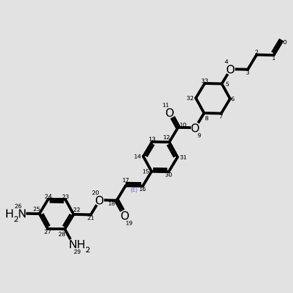 C=CCCOC1CCC(OC(=O)c2ccc(/C=C/C(=O)OCc3ccc(N)cc3N)cc2)CC1